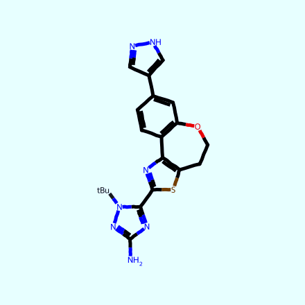 CC(C)(C)n1nc(N)nc1-c1nc2c(s1)CCOc1cc(-c3cn[nH]c3)ccc1-2